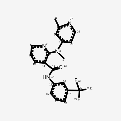 Cc1cc(N(C)c2ncccc2C(=O)Nc2cccc(C(F)(F)F)c2)ccn1